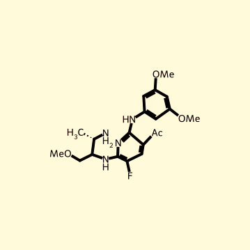 COCC(Nc1nc(Nc2cc(OC)cc(OC)c2)c(C(C)=O)cc1F)[C@H](C)N